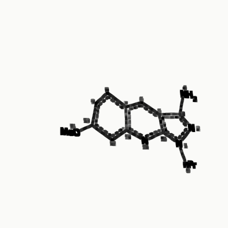 CCCn1nc(N)c2cc3ccc(OC)cc3nc21